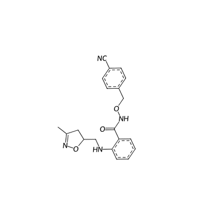 CC1=NOC(CNc2ccccc2C(=O)NOCc2ccc(C#N)cc2)C1